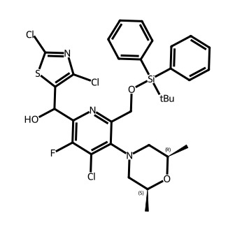 C[C@@H]1CN(c2c(CO[Si](c3ccccc3)(c3ccccc3)C(C)(C)C)nc(C(O)c3sc(Cl)nc3Cl)c(F)c2Cl)C[C@H](C)O1